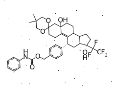 CC1(C)COC2(CCC3=C4C(CCC3(O)C2)C2CC[C@@](O)(C(F)(F)C(F)(F)F)[C@@]2(C)C[C@@H]4c2ccc(COC(=O)Nc3ccccc3)cc2)OC1